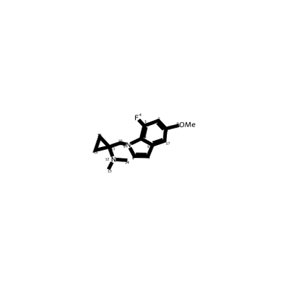 COc1cc(F)c2c(ccn2CC2(N(C)C)CC2)c1